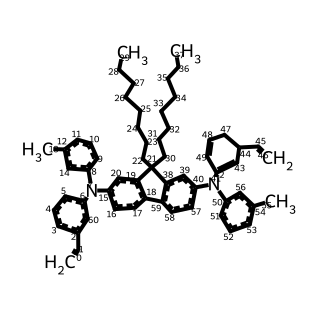 C=Cc1cccc(N(c2cccc(C)c2)c2ccc3c(c2)C(CCCCCCCC)(CCCCCCCC)c2cc(N(C4=CC(C=C)CC=C4)c4cccc(C)c4)ccc2-3)c1